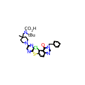 CC1(CN(C(=O)O)C(C)(C)C)CCN(c2cnc(Sc3ccc4ncn(Cc5ccccc5)c(=O)c4c3Cl)cn2)CC1